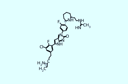 C=C[C@@H](N)CCCc1cc(Cl)c(F)c(-c2cc3cn(-c4ccc([C@@H]5CCCC[C@@H](CCNC(C)=N)N5)c(F)c4)c(=O)nc3[nH]2)c1